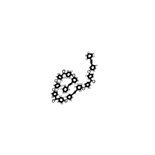 O=C(c1ccc(Oc2cccc(C#Cc3ccccc3)c2)cc1)c1ccc(Oc2cccc(C#Cc3ccc(Oc4ccc(C(=O)c5ccc(Oc6cccc(Oc7ccc(C(=O)c8ccc(Oc9cccc(C#Cc%10ccccc%10)c9)cc8)cc7)c6)cc5)cc4)cc3)c2)cc1